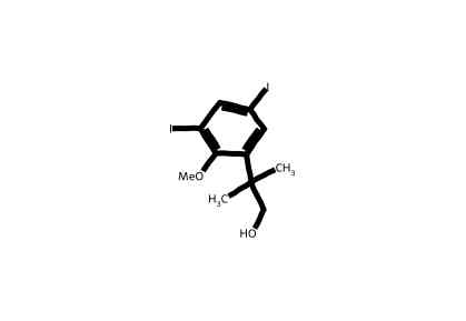 COc1c(I)cc(I)cc1C(C)(C)CO